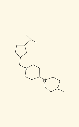 CC(C)C1CCC(CN2CCC(N3CCN(C)CC3)CC2)C1